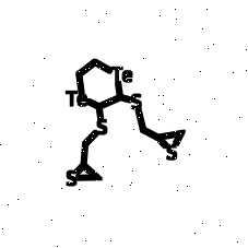 C1C[Te]C(SCC2CS2)C(SCC2CS2)[Te]1